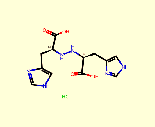 Cl.O=C(O)[C@H](Cc1c[nH]cn1)NN[C@@H](Cc1c[nH]cn1)C(=O)O